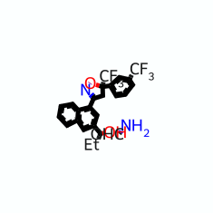 CCC(O)c1cc(C2=NOC(c3cccc(C(F)(F)F)c3)(C(F)(F)F)C2)c2ccccc2c1.NC=O